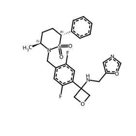 C[C@H]1CC[C@H](c2ccccc2)S(=O)(=O)N1Cc1cc(F)c(C2(NCc3cnco3)COC2)cc1F